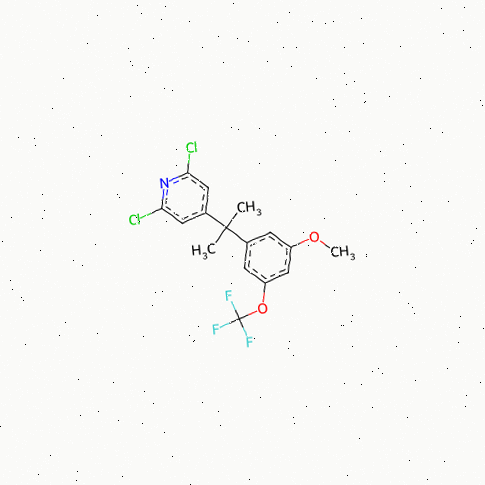 COc1cc(OC(F)(F)F)cc(C(C)(C)c2cc(Cl)nc(Cl)c2)c1